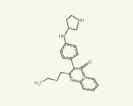 CCCCc1nc2ccccn2c(=O)c1-c1ccc(NC2CCNC2)cc1